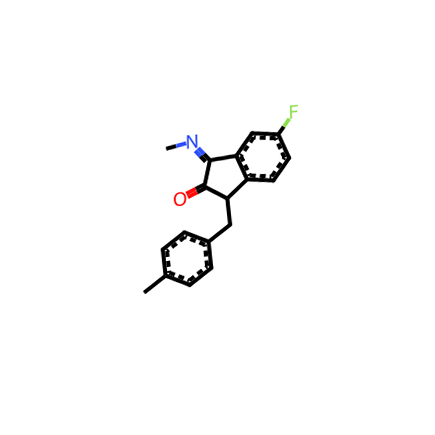 C/N=C1\C(=O)C(Cc2ccc(C)cc2)c2ccc(F)cc21